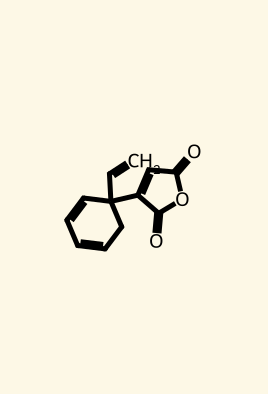 C=CC1(C2=CC(=O)OC2=O)C=CC=CC1